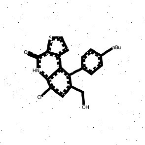 CCCCc1ccc(-c2c(CO)cc(Cl)c3[nH]c(=O)c4sccc4c23)cc1